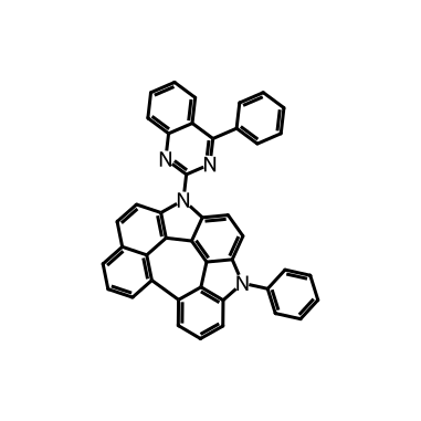 c1ccc(-c2nc(-n3c4ccc5cccc6c5c4c4c5c7c-6cccc7n(-c6ccccc6)c5ccc43)nc3ccccc23)cc1